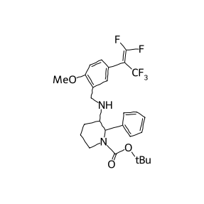 COc1ccc(C(=C(F)F)C(F)(F)F)cc1CNC1CCCN(C(=O)OC(C)(C)C)C1c1ccccc1